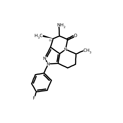 CC1CCc2c3c(nn2-c2ccc(F)cc2)[C@@H](C)C(N)C(=O)N31